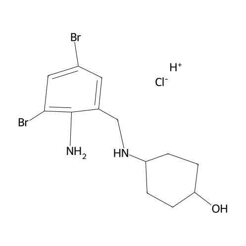 Nc1c(Br)cc(Br)cc1CNC1CCC(O)CC1.[Cl-].[H+]